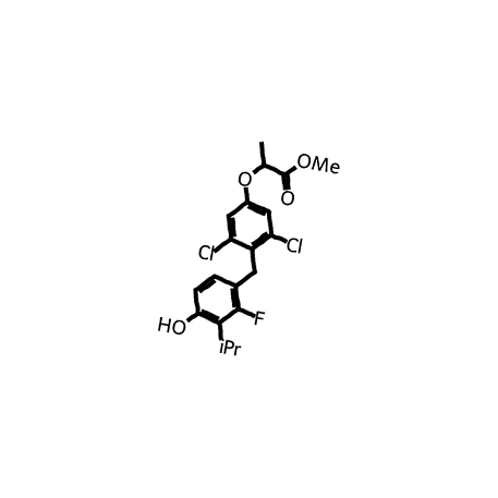 COC(=O)C(C)Oc1cc(Cl)c(Cc2ccc(O)c(C(C)C)c2F)c(Cl)c1